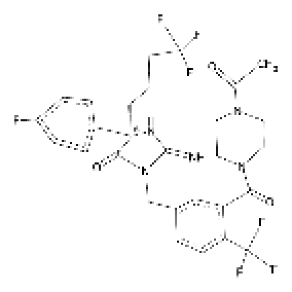 CC(=O)N1CCN(C(=O)c2cc(CN3C(=N)N[C@](CCCC(F)(F)F)(c4ccc(F)cc4)C3=O)ccc2C(F)(F)F)CC1